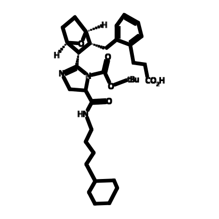 CC(C)(C)OC(=O)N1C([C@H]2[C@@H](Cc3ccccc3CCC(=O)O)[C@@H]3CC[C@H]2O3)=NCC1C(=O)NCCCCC1CCCCC1